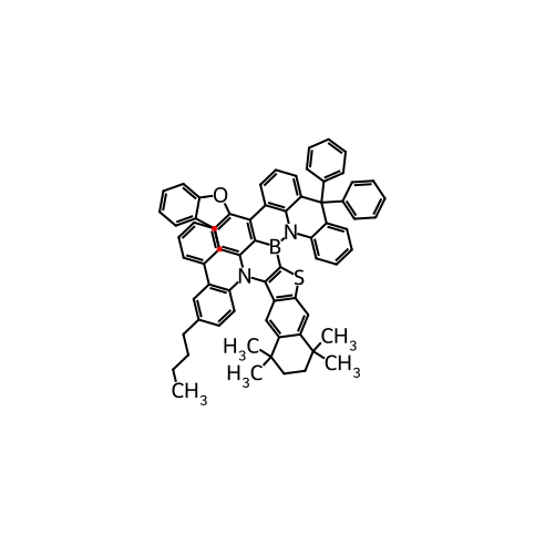 CCCCc1ccc(N2c3cc4c(oc5ccccc54)c4c3B(c3sc5cc6c(cc5c32)C(C)(C)CCC6(C)C)N2c3ccccc3C(c3ccccc3)(c3ccccc3)c3cccc-4c32)c(-c2ccccc2)c1